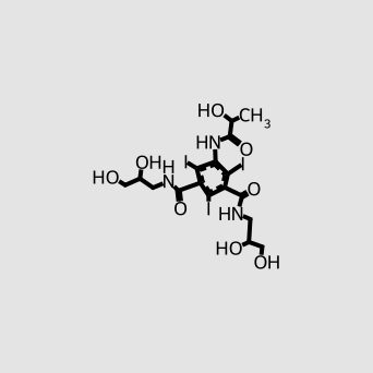 CC(O)C(=O)Nc1c(I)c(C(=O)NCC(O)CO)c(I)c(C(=O)NCC(O)CO)c1I